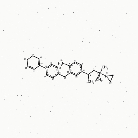 C=P(C)(CC(C)c1ccc(N)c(Cc2ccc(C3=CCCC=C3)cc2)c1)N1CC1